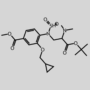 COC(=O)c1ccc(N(CC(C(=O)OC(C)(C)C)N(C)C)[SH](=O)=O)c(OCC2CC2)c1